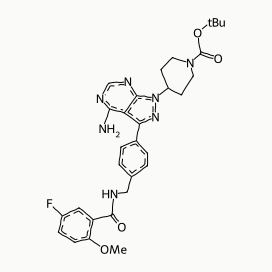 COc1ccc(F)cc1C(=O)NCc1ccc(-c2nn(C3CCN(C(=O)OC(C)(C)C)CC3)c3ncnc(N)c23)cc1